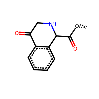 COC(=O)C1NCC(=O)c2ccccc21